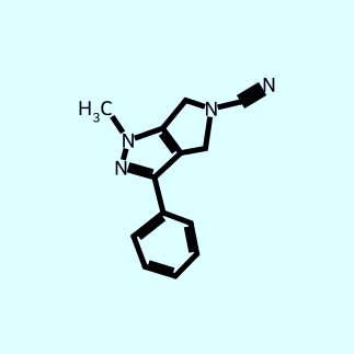 Cn1nc(-c2ccccc2)c2c1CN(C#N)C2